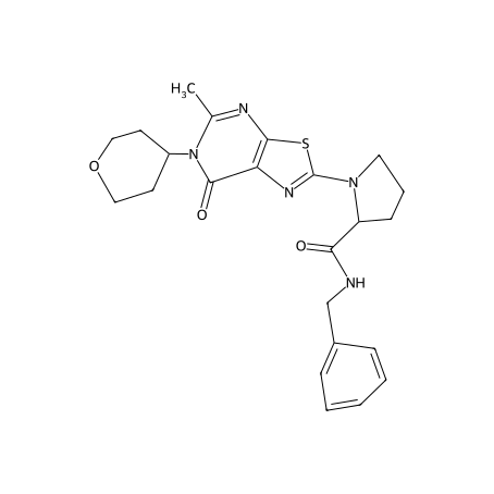 Cc1nc2sc(N3CCCC3C(=O)NCc3ccccc3)nc2c(=O)n1C1CCOCC1